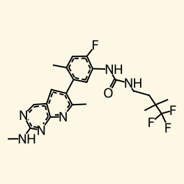 CNc1ncc2cc(-c3cc(NC(=O)NCCC(C)(C)C(F)(F)F)c(F)cc3C)c(C)nc2n1